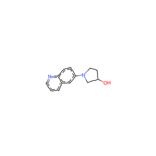 OC1CCN(c2ccc3ncccc3c2)C1